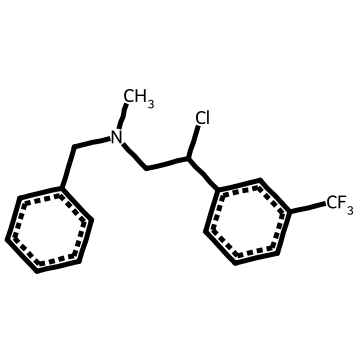 CN(Cc1ccccc1)CC(Cl)c1cccc(C(F)(F)F)c1